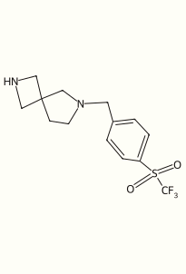 O=S(=O)(c1ccc(CN2CCC3(CNC3)C2)cc1)C(F)(F)F